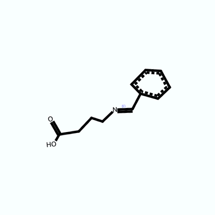 O=C(O)CCC/N=C/c1ccccc1